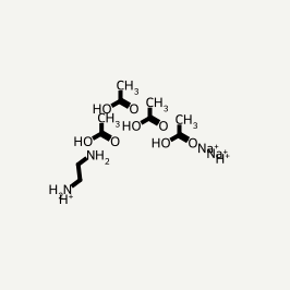 CC(=O)O.CC(=O)O.CC(=O)O.CC(=O)O.NCCN.[H+].[H+].[Na+].[Na+]